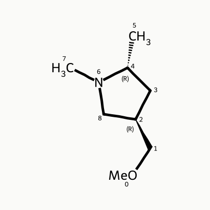 COC[C@@H]1C[C@@H](C)N(C)C1